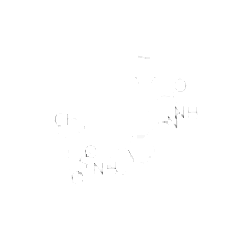 CCCCS(=O)(=O)NC1Cc2ccc(C3=NNC(=O)C(c4ccccc4)C3)cc2C1